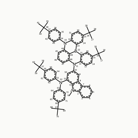 Cn1c2ccccc2c2cc(N3c4ccc(C(C)(C)C)cc4B4c5cc(C(C)(C)C)ccc5N(c5ccc(C(C)(C)C)cc5)c5cccc3c54)cc(N(c3ccc(C(C)(C)C)cc3)c3ccc(C(C)(C)C)cc3)c21